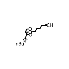 C#CCCCCC12OCC(CO1)C(C#[N+]CCCC)O2